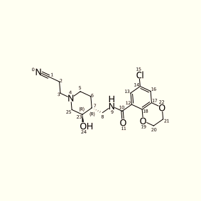 N#CCCN1CC[C@H](CNC(=O)c2cc(Cl)cc3c2OCCO3)[C@@H](O)C1